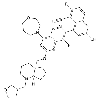 C#Cc1c(F)ccc2cc(O)cc(-c3ncc4c(N5CCCOCC5)nc(OC[C@]56CCC[C@H]5N(CC5CCOC5)CCC6)nc4c3F)c12